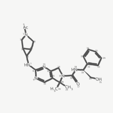 CC(=O)N1CC2C(C1)C2Nc1ncc2c(n1)CN(C(=O)N[C@H](CO)c1ccccc1)C2(C)C